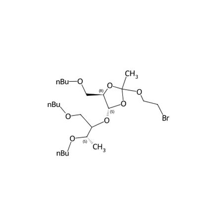 CCCCOCC(O[C@H]1OC(C)(OCCBr)O[C@@H]1COCCCC)[C@H](C)OCCCC